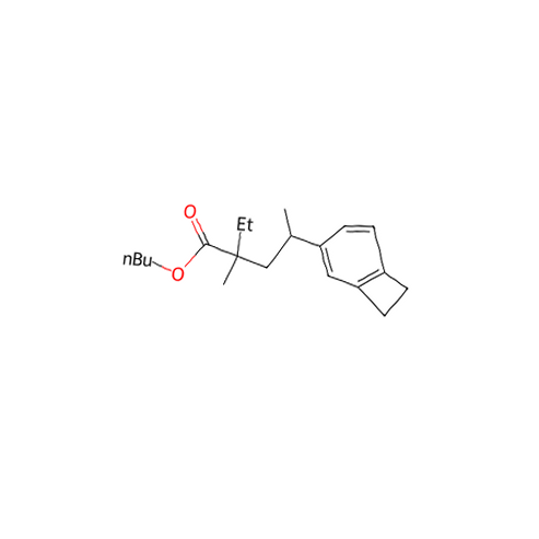 CCCCOC(=O)C(C)(CC)CC(C)c1ccc2c(c1)CC2